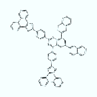 c1ccc2cc(-c3cc(-c4ccc5ccccc5c4)c4nc(-c5ccc(-c6nc7c8ccccc8c8ccccc8c7o6)cc5)nc(-c5ccc(-c6cc7c8ccccc8c8ccccc8c7o6)cc5)c4c3)ccc2c1